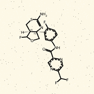 NC1=N[C@@]2(c3cc(NC(=O)c4cnc(C(F)F)cn4)ccc3F)COC(F)[C@H]2CS1